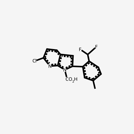 Cc1ccc(C(F)F)c(-c2cc3ccc(Cl)nc3n2C(=O)O)c1